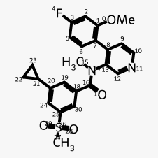 COc1cc(F)ccc1-c1ccncc1N(C)C(=O)c1cc(C2CC2)cc(S(C)(=O)=O)c1